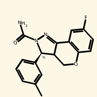 Cc1cccc([C@@H]2C3COc4ccc(F)cc4C3=NN2C(N)=O)c1